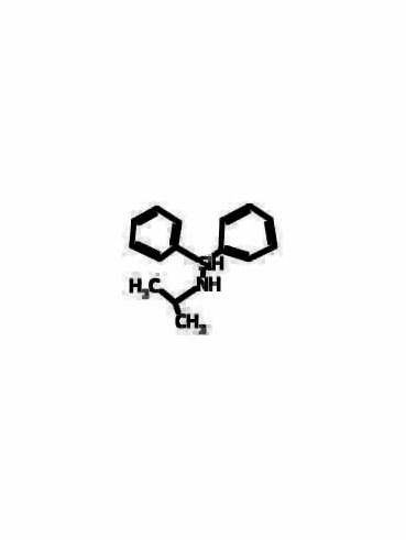 CC(C)N[SiH](c1ccccc1)c1ccccc1